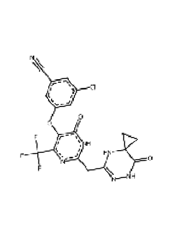 N#Cc1cc(Cl)cc(Oc2c(C(F)(F)F)nc(CC3=NNC(=O)C4(CC4)N3)[nH]c2=O)c1